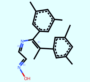 C\C(=C(/N=C\C=N\O)c1cc(C)cc(C)c1)c1cc(C)cc(C)c1